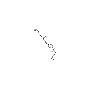 OCCC#CC(O)CC#Cc1ccc(OC2CCN(C3CCC3)CC2)cc1